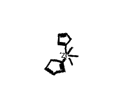 [CH3][Zr]([CH3])([CH3])([CH3])([C]1=CC=CC1)[C]1=CC=CC1